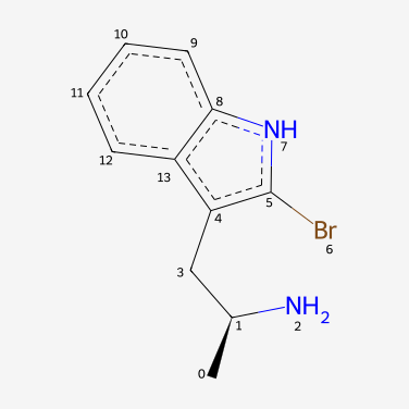 C[C@H](N)Cc1c(Br)[nH]c2ccccc12